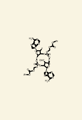 CC(C)OC(=O)OCOP1(=O)OC[C@H]2O[C@@H](n3cnc4c(N)ncnc43)C(OP(=O)(OCOC(=O)OC(C)C)OCC3O[C@@H](n4cnc5c(N)ncnc54)C(F)C3O1)C2C=O